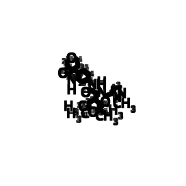 Cn1nccc1C(=O)NC(C(=O)Nc1ccc2c(c1)NC(=O)C21CCOCC1)=C1CC(C)(C)OC(C)(C)C1